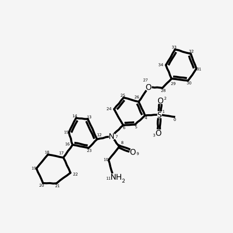 CS(=O)(=O)c1cc(N(C(=O)CN)c2cccc(C3CCCCC3)c2)ccc1OCc1ccccc1